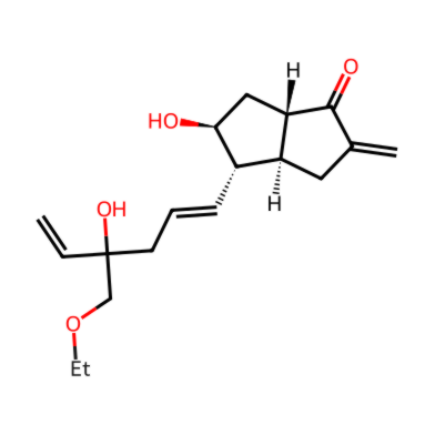 C=CC(O)(C/C=C/[C@H]1[C@@H]2CC(=C)C(=O)[C@H]2C[C@@H]1O)COCC